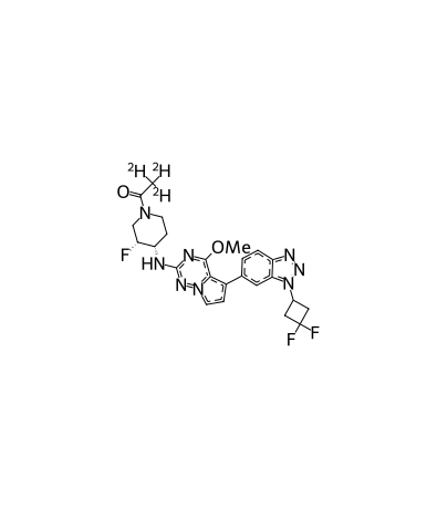 [2H]C([2H])([2H])C(=O)N1CC[C@H](Nc2nc(OC)c3c(-c4ccc5nnn(C6CC(F)(F)C6)c5c4)ccn3n2)[C@H](F)C1